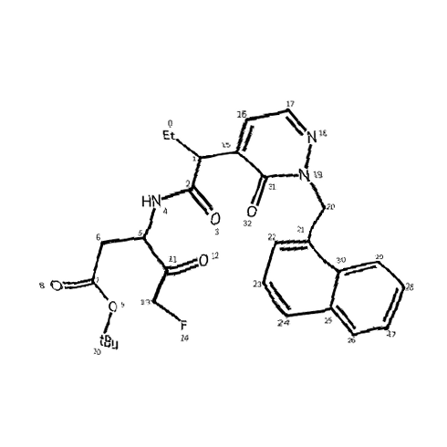 CCC(C(=O)NC(CC(=O)OC(C)(C)C)C(=O)CF)c1ccnn(Cc2cccc3ccccc23)c1=O